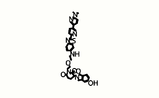 CN(C)c1ccc(-c2ccc(-c3nc4ccc(NCCOCCN5C(=O)CCC(N6Cc7cc(O)ccc7C6=O)C5=O)cc4s3)nc2)cn1